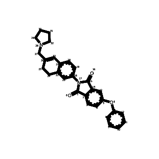 O=C1c2ccc(Oc3ccccc3)cc2C(=O)N1c1ccc2c(c1)CCC(CN1CCCC1)=C2